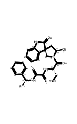 CC(C)[C@H](NC(=O)C(=O)N[C@@H](CC(C)(C)C)C(=O)N1C[C@]2(C[C@H]1C#N)C(=O)Nc1ccccc12)c1ccccc1